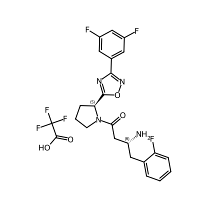 N[C@@H](CC(=O)N1CCC[C@H]1c1nc(-c2cc(F)cc(F)c2)no1)Cc1ccccc1F.O=C(O)C(F)(F)F